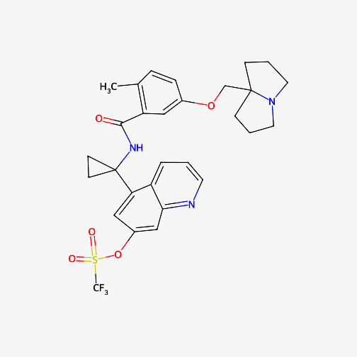 Cc1ccc(OCC23CCCN2CCC3)cc1C(=O)NC1(c2cc(OS(=O)(=O)C(F)(F)F)cc3ncccc23)CC1